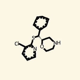 Clc1cccnc1SC(c1ccccc1)[C@@H]1CNCCO1